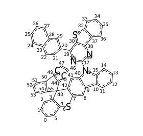 c1ccc2c(c1)Sc1cc3c4ccccc4n(-c4nc(-c5ccc6ccccc6c5)c5sc6ccccc6c5n4)c3cc1C21c2ccccc2-c2ccccc21